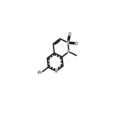 CC(C)c1cc2c(cn1)N(C)S(=O)(=O)C=C2